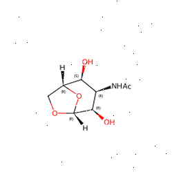 CC(=O)N[C@H]1[C@@H](O)[C@@H]2OC[C@@H](O2)[C@H]1O